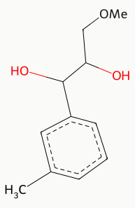 COCC(O)C(O)c1cccc(C)c1